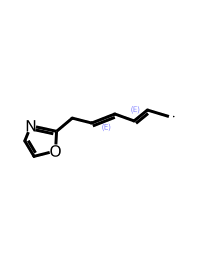 [CH2]/C=C/C=C/Cc1ncco1